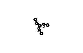 c1ccc(-c2csc(-c3cc(-c4ccc(-c5ccccc5)s4)cc(-c4ccc(-c5ccccc5)s4)c3)c2)cc1